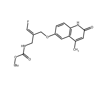 Cc1cc(=O)[nH]c2ccc(OC/C(=C\F)CNC(=O)OC(C)(C)C)cc12